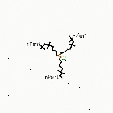 CCCCCC(C)C(C)(C)CCCCS(Cl)(CCCCC(C)(C)CC(C)(C)CCCCC)CCCCC(C)(C)CC(C)(C)CCCCC